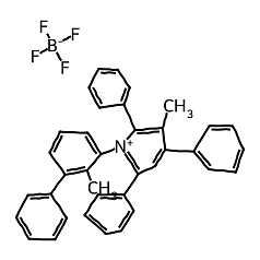 Cc1c(-c2ccccc2)cccc1-[n+]1c(-c2ccccc2)cc(-c2ccccc2)c(C)c1-c1ccccc1.F[B-](F)(F)F